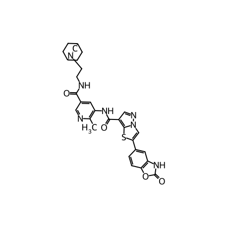 Cc1ncc(C(=O)NCCN2CC3CCC2CC3)cc1NC(=O)c1cnn2cc(-c3ccc4oc(=O)[nH]c4c3)sc12